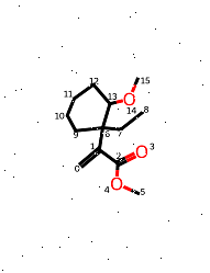 C=C(C(=O)OC)C1(CC)CCCCC1OC